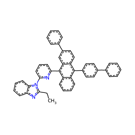 CCc1nc2ccccc2n1-c1cccc(-c2c3ccccc3c(-c3ccc(-c4ccccc4)cc3)c3ccc(-c4ccccc4)cc23)n1